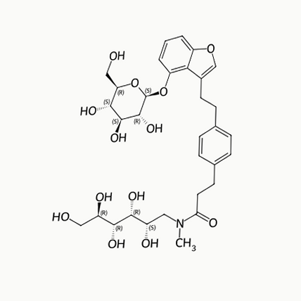 CN(C[C@H](O)[C@@H](O)[C@H](O)[C@H](O)CO)C(=O)CCc1ccc(CCc2coc3cccc(O[C@@H]4O[C@H](CO)[C@@H](O)[C@H](O)[C@H]4O)c23)cc1